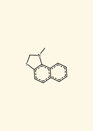 CN1CSc2ccc3ccccc3c21